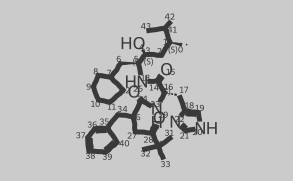 [CH2][C@@H](C[C@H](O)[C@H](CC1CCCCC1)NC(=O)[C@H](Cc1c[nH]cn1)NC(=O)C(CC(=O)C(C)(C)C)Cc1ccccc1)C(C)C